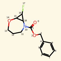 O=C(OCc1ccccc1)N1CCCOC2C(F)C21